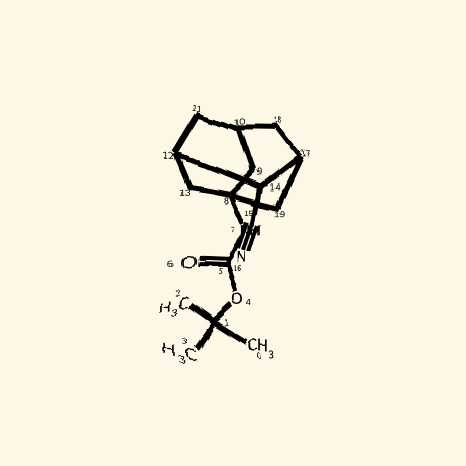 CC(C)(C)OC(=O)NC12CC3CC(C1)C(C#N)C(C3)C2